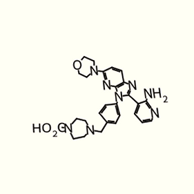 Nc1ncccc1-c1nc2ccc(N3CCOCC3)nc2n1-c1ccc(CN2CCN(C(=O)O)CC2)cc1